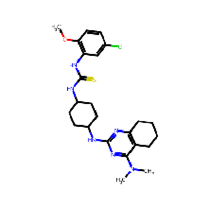 COc1ccc(Cl)cc1NC(=S)NC1CCC(Nc2nc3c(c(N(C)C)n2)CCCC3)CC1